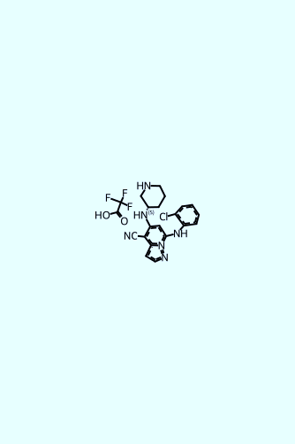 N#Cc1c(N[C@H]2CCCNC2)cc(Nc2ccccc2Cl)n2nccc12.O=C(O)C(F)(F)F